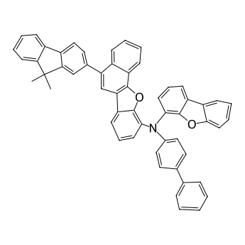 CC1(C)c2ccccc2-c2ccc(-c3cc4c5cccc(N(c6ccc(-c7ccccc7)cc6)c6cccc7c6oc6ccccc67)c5oc4c4ccccc34)cc21